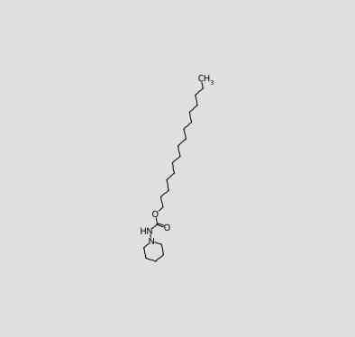 CCCCCCCCCCCCCCCCOC(=O)NN1CCCCC1